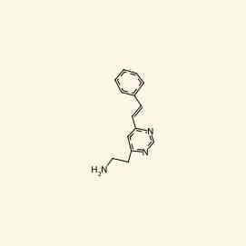 NCCc1cc(C=Cc2ccccc2)ncn1